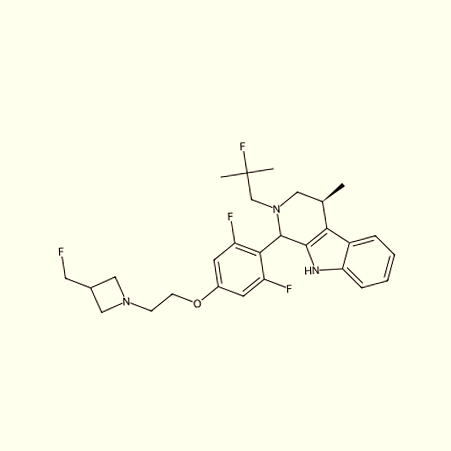 C[C@@H]1CN(CC(C)(C)F)C(c2c(F)cc(OCCN3CC(CF)C3)cc2F)c2[nH]c3ccccc3c21